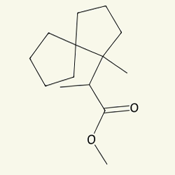 COC(=O)C(C)C1(C)CCCC12CCCC2